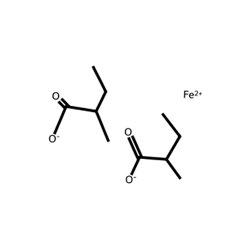 CCC(C)C(=O)[O-].CCC(C)C(=O)[O-].[Fe+2]